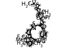 C=CC(=O)N1CCC2(C1)CN(C(=O)N(C)[C@H](C(=O)N1CC3C1C31Cc3nc(cs3)-c3ccc4c(c3)c(c(-c3cccnc3[C@H](C)OC)n4CC(F)(F)F)CC(C)(C)COC(=O)[C@@H]3CCCN(C1=O)N1CCC31)C(C)C)C2